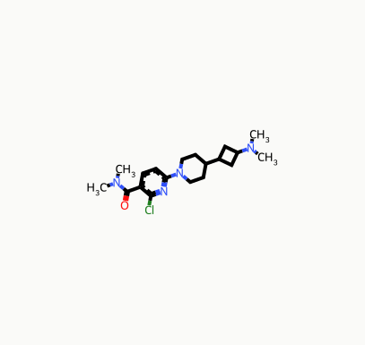 CN(C)C(=O)c1ccc(N2CCC(C3CC(N(C)C)C3)CC2)nc1Cl